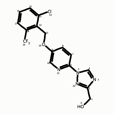 OCc1ncn(-c2ccc(OCc3c(Cl)cccc3C(F)(F)F)cn2)n1